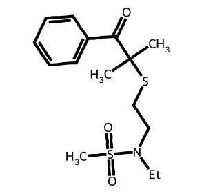 CCN(CCSC(C)(C)C(=O)c1ccccc1)S(C)(=O)=O